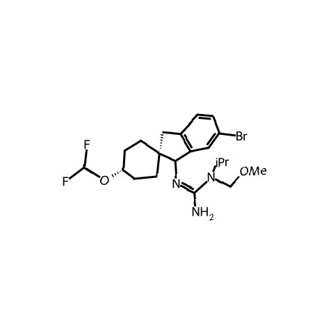 COCN(/C(N)=N\C1c2cc(Br)ccc2C[C@]12CC[C@@H](OC(F)F)CC2)C(C)C